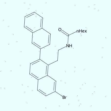 CCCCCCC(=O)NCCc1c(-c2ccc3ccccc3c2)ccc2ccc(Br)cc12